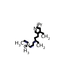 C=C/C(=C\C=C/N(C)/C=C\C)CCc1cnc(C(C)C)cc1C=C